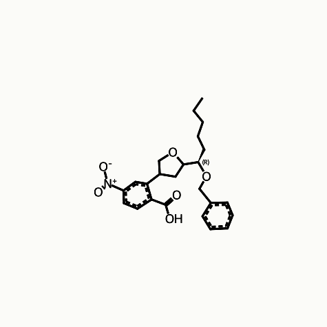 CCCCC[C@@H](OCc1ccccc1)C1CC(c2cc([N+](=O)[O-])ccc2C(=O)O)CO1